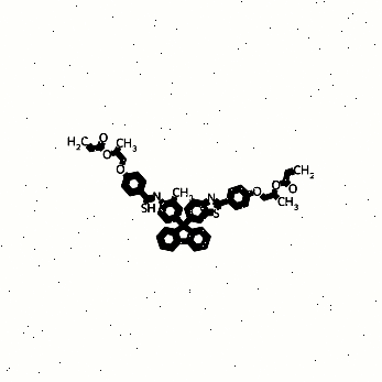 C=CC(=O)OC(C)COc1ccc(/C(S)=N/c2ccc(C3(c4ccc5nc(-c6ccc(OCC(C)OC(=O)C=C)cc6)sc5c4)c4ccccc4-c4ccccc43)cc2C)cc1